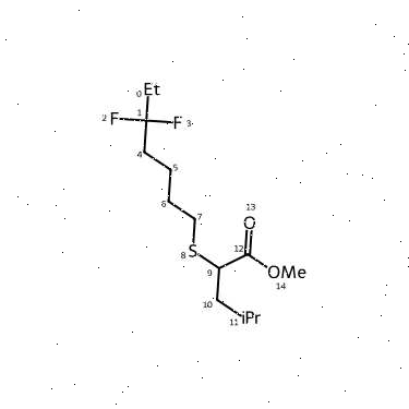 CCC(F)(F)CCCCSC(CC(C)C)C(=O)OC